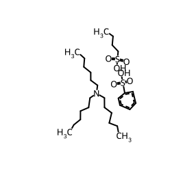 CCCCCCN(CCCCCC)CCCCCC.CCCCS(=O)(=O)O.O=S(=O)(O)c1ccccc1